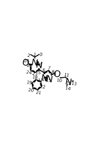 CC(C)n1nc(-c2cc(OCCN(C)C)nn2-c2ccccc2)ccc1=O